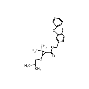 CC(C)COC1C(C(=O)OCc2ccc(F)c(Oc3ccccc3)c2)C1(C)C